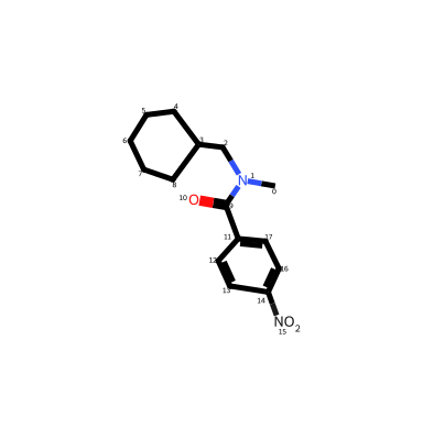 CN(CC1CCCCC1)C(=O)c1ccc([N+](=O)[O-])cc1